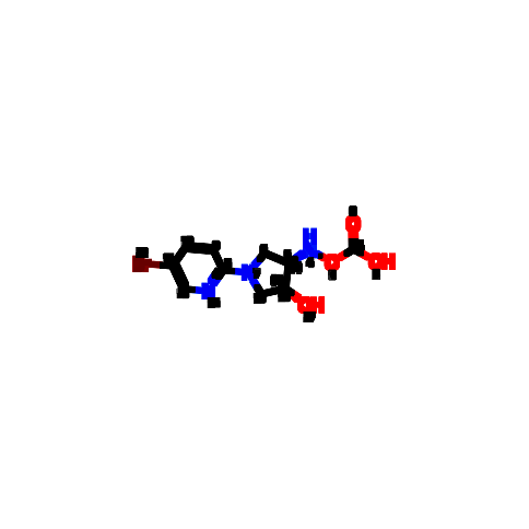 O=C(O)ON[C@@H]1CN(c2ccc(Br)cn2)C[C@@H]1O